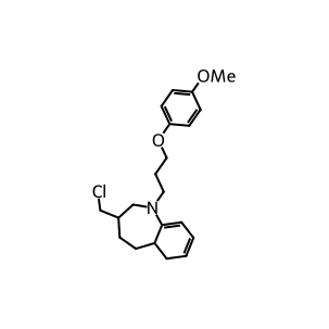 COc1ccc(OCCCN2CC(CCl)CCC3CC=CC=C32)cc1